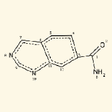 NC(=O)c1ccc2cncnc2c1